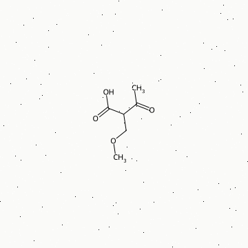 COCC(C(C)=O)C(=O)O